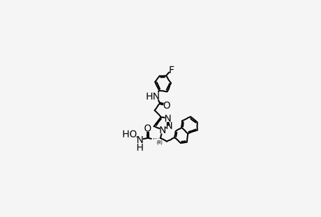 O=C(C[C@@H](Cc1ccc2ccccc2c1)n1cc(CC(=O)Nc2ccc(F)cc2)nn1)NO